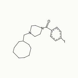 O=C(c1ccc(I)cc1)N1CCN(CC2CCCCCCCC2)CC1